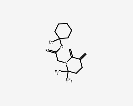 C=C1CCC(C(F)(F)F)(C(F)(F)F)N(CC(=O)OC2(CC)CCCCC2)C1=C